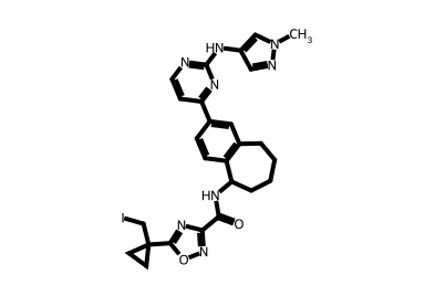 Cn1cc(Nc2nccc(-c3ccc4c(c3)CCCCC4NC(=O)c3noc(C4(CI)CC4)n3)n2)cn1